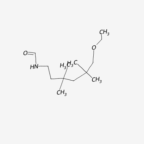 CCOCC(C)(C)CC(C)(C)CCNC=O